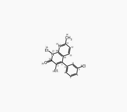 [CH2]Cc1c(-c2cccc(Cl)c2)c2ccc(C)nc2n(CC)c1=O